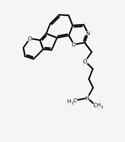 CN(C)CCCOCC1=NC=C2CC=CC3=C4OCC=CC4=CC3=C2O1